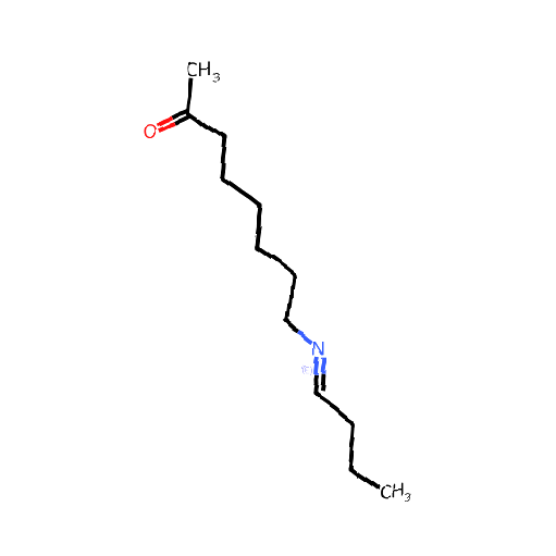 CCC/C=N/CCCCCCC(C)=O